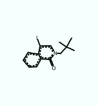 CC(C)(C)Cn1cc(I)c2ccccc2c1=O